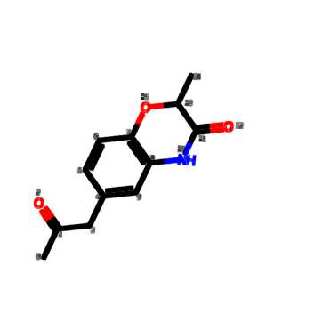 CC(=O)Cc1ccc2c(c1)NC(=O)C(C)O2